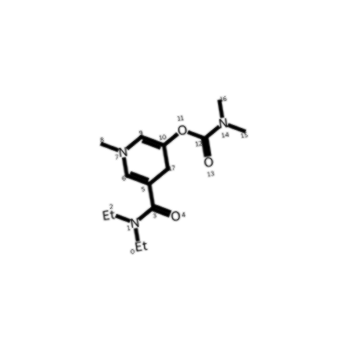 CCN(CC)C(=O)C1=CN(C)C=C(OC(=O)N(C)C)C1